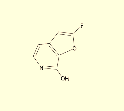 Oc1nccc2cc(F)oc12